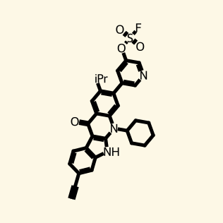 C#Cc1ccc2c(c1)[nH]c1c2c(=O)c2cc(C(C)C)c(-c3cncc(OS(=O)(=O)F)c3)cc2n1C1CCCCC1